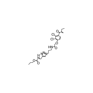 C=C(CC)C(=O)c1ccc(OCC(=O)NCCCn2cc(CNC(=O)OCCC)nn2)c(Cl)c1Cl